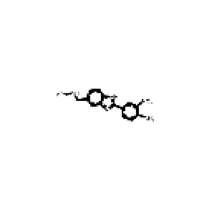 CCCNCc1ccc2[nH]c(-c3ccc(N)c([N+](=O)[O-])c3)nc2c1